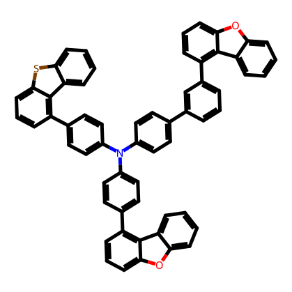 c1cc(-c2ccc(N(c3ccc(-c4cccc5oc6ccccc6c45)cc3)c3ccc(-c4cccc5sc6ccccc6c45)cc3)cc2)cc(-c2cccc3oc4ccccc4c23)c1